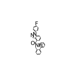 O=C(NCc1ccccc1-c1ccccc1)c1cccc2c1cnn2-c1ccc(F)cc1